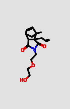 C=CCC12C(=O)N(CCOCCO)C(=O)C1C1C=CC2(C)C1